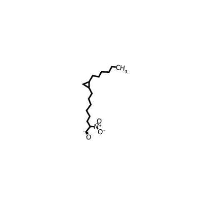 CCCCCCC1CC1CCCCCCC([C]=O)[N+](=O)[O-]